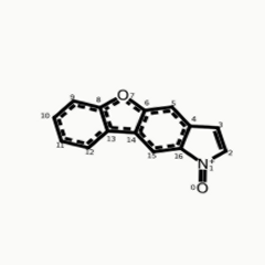 O=[N+]1C=Cc2cc3oc4ccccc4c3cc21